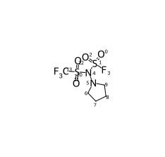 O=S(=O)(F)N(N1CCCC1)S(=O)(=O)C(F)(F)F